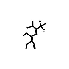 C=C/C(CC)=C(\C=C(/C(C)C)C(C)(F)F)CC